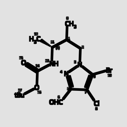 CC(Cn1nc(C=O)c(Cl)c1Br)[C@@H](C)NC(=O)OC(C)(C)C